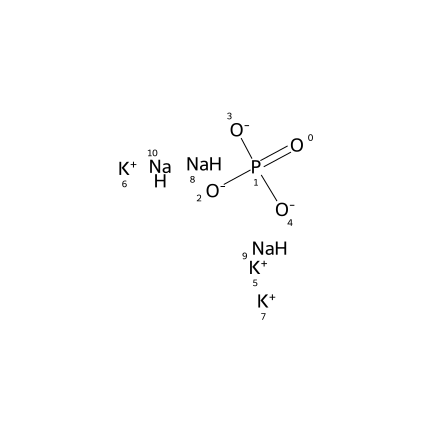 O=P([O-])([O-])[O-].[K+].[K+].[K+].[NaH].[NaH].[NaH]